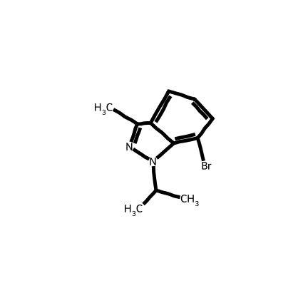 Cc1nn(C(C)C)c2c(Br)cccc12